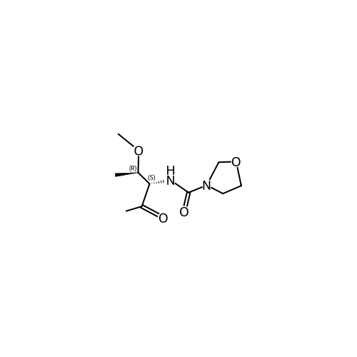 CO[C@H](C)[C@H](NC(=O)N1CCOC1)C(C)=O